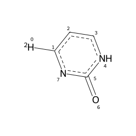 [2H]c1cc[nH]c(=O)n1